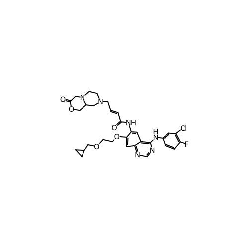 O=C(C=CCN1CCN2CC(=O)OCC2C1)Nc1cc2c(Nc3ccc(F)c(Cl)c3)ncnc2cc1OCCOCC1CC1